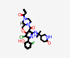 C=CC(=O)N1CCN2C(=O)c3c(NC(C)(C)C4CCC(=O)NC4)nc(-c4c(O)cccc4F)c(Cl)c3OC[C@H]2C1